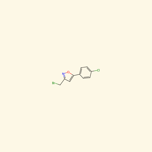 Clc1ccc(-c2cc(CBr)no2)cc1